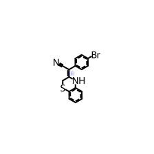 N#C/C(=C1\CSc2ccccc2N1)c1ccc(Br)cc1